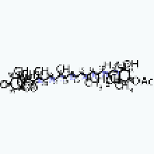 CC(=O)O[C@H]1CC(C)(C)\C(=C/C(C)=C/C=C/C(C)=C/C=C/C=C(C)/C=C/C=C(\C)C(=O)C[C@@]23O[C@]2(C)CC(=O)CC3(C)C)[C@](C)(O)C1